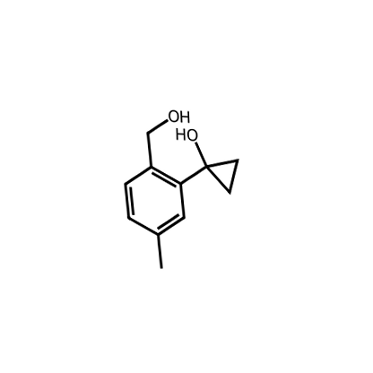 Cc1ccc(CO)c(C2(O)CC2)c1